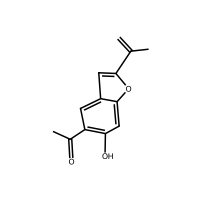 C=C(C)c1cc2cc(C(C)=O)c(O)cc2o1